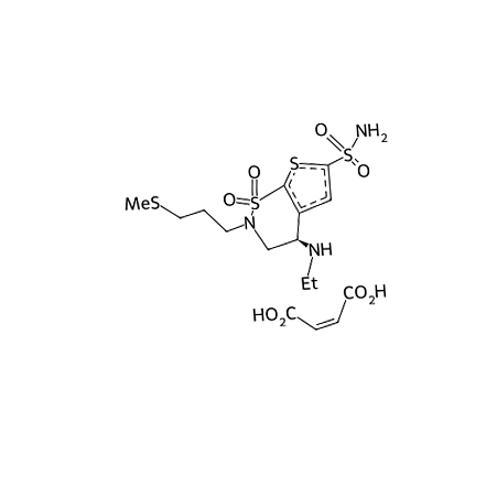 CCN[C@H]1CN(CCCSC)S(=O)(=O)c2sc(S(N)(=O)=O)cc21.O=C(O)/C=C\C(=O)O